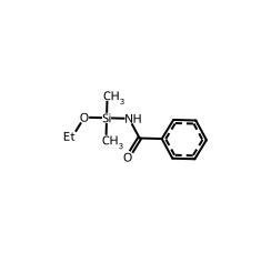 CCO[Si](C)(C)NC(=O)c1ccccc1